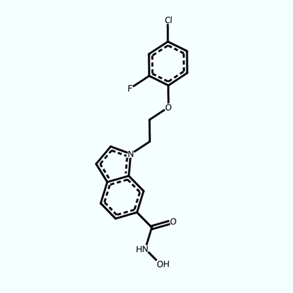 O=C(NO)c1ccc2ccn(CCOc3ccc(Cl)cc3F)c2c1